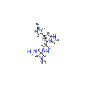 CC(C)N1CC(CN)(n2cc(-c3nc(-c4cnn(C)c4)cc4nccn34)cn2)C1